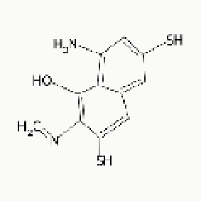 C=Nc1c(S)cc2cc(S)cc(N)c2c1O